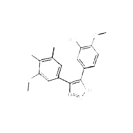 COc1ccc(-c2[nH]nnc2-c2cc(C)c(C)c(OC)c2)cc1O